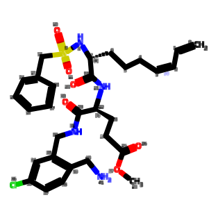 C=C/C=C\CCC[C@@H](NS(=O)(=O)Cc1ccccc1)C(=O)N[C@@H](CCC(=O)OC)C(=O)NCc1cc(Cl)ccc1CN